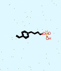 C=Cc1ccc(CCCCO[PH](=O)O)cc1